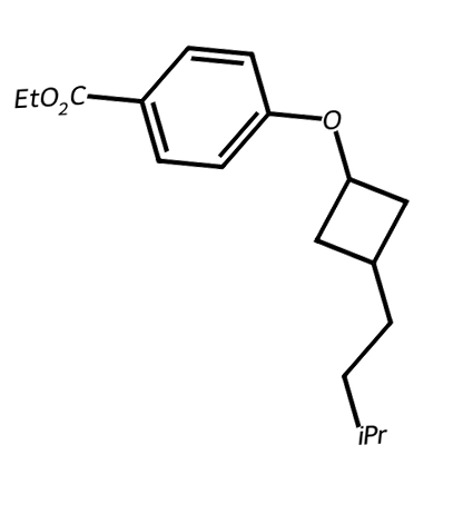 CCOC(=O)c1ccc(OC2CC(CCC(C)C)C2)cc1